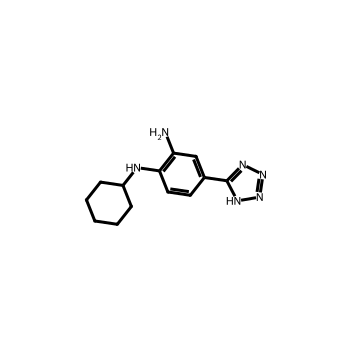 Nc1cc(-c2nnn[nH]2)ccc1NC1CCCCC1